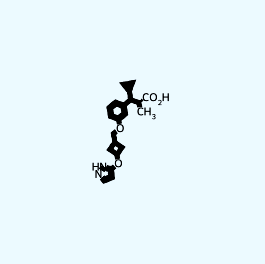 C[C@H](C(=O)O)C(c1cccc(OCC2CC(Oc3ccn[nH]3)C2)c1)C1CC1